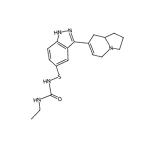 CCNC(=O)NSc1ccc2[nH]nc(C3=CCN4CCCC4C3)c2c1